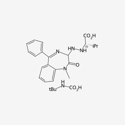 CC(C)(C)NC(=O)O.CC(C)[C@H](NNC1N=C(c2ccccc2)c2ccccc2N(C)C1=O)C(=O)O